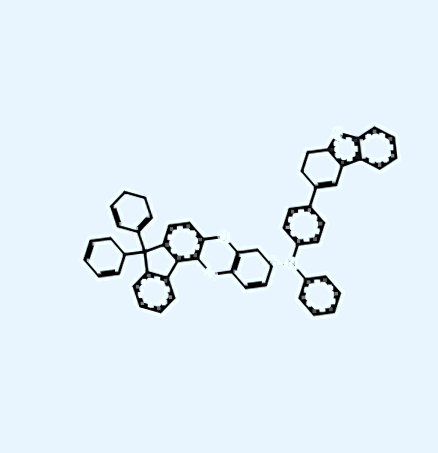 C1=CCC(C2(C3=CCCC=C3)c3ccccc3-c3c2ccc2c3OC3=C(C[C@H](N(c4ccccc4)c4ccc(C5=Cc6c(sc7ccccc67)CC5)cc4)C=C3)O2)C=C1